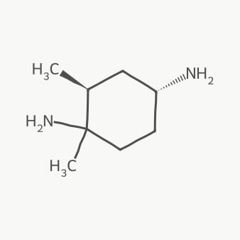 C[C@H]1C[C@H](N)CCC1(C)N